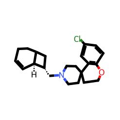 Clc1ccc2c(c1)C1(CCO2)CCN(C[C@H]2CC3CCC=C[C@@H]32)CC1